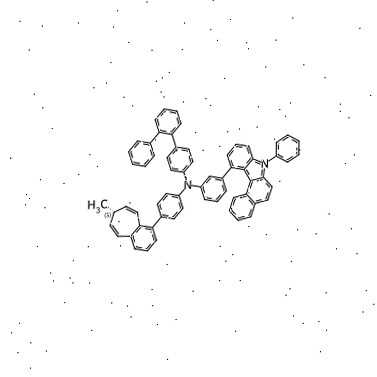 C[C@H]1C=Cc2cccc(-c3ccc(N(c4ccc(-c5ccccc5-c5ccccc5)cc4)c4cccc(-c5cccc6c5c5c7ccccc7ccc5n6-c5ccccc5)c4)cc3)c2C=C1